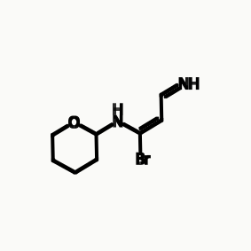 N=C/C=C(/Br)NC1CCCCO1